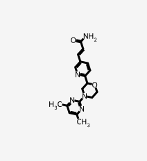 Cc1cc(C)nc(N2CCOC(c3ccc(C=CC(N)=O)cn3)C2)n1